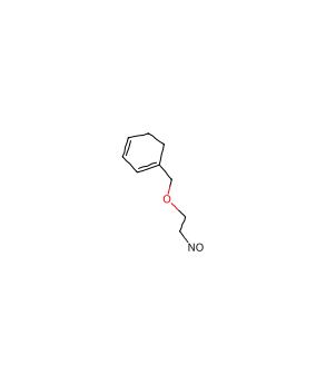 O=NCCOCC1=CC=CCC1